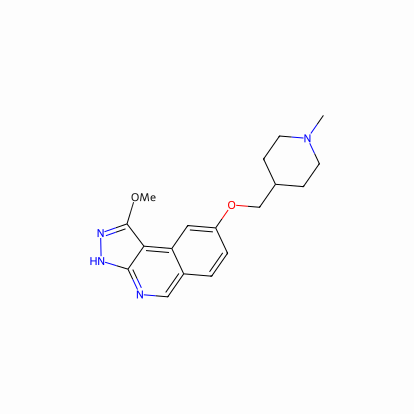 COc1n[nH]c2ncc3ccc(OCC4CCN(C)CC4)cc3c12